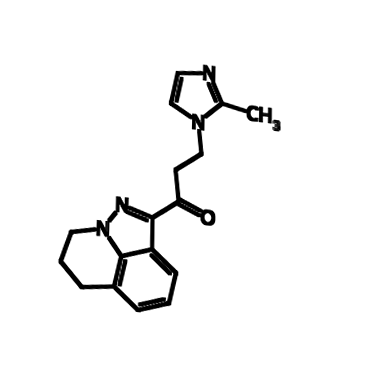 Cc1nccn1CCC(=O)c1nn2c3c(cccc13)CCC2